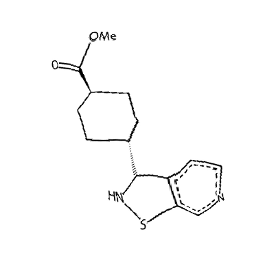 COC(=O)[C@H]1CC[C@H](C2NSc3cnccc32)CC1